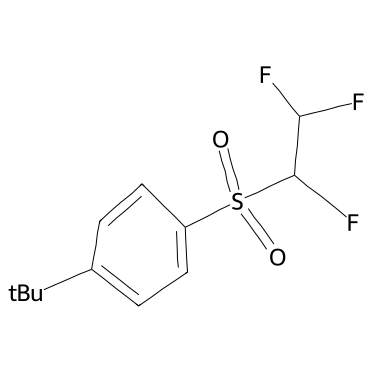 CC(C)(C)c1ccc(S(=O)(=O)C(F)C(F)F)cc1